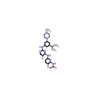 CC(C)c1cc(Nc2ncc(F)c(Nc3ccc4c(n3)NC(=O)CO4)n2)cc(N2CCN(C)CC2)c1